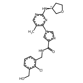 Cc1cnc(N[C@H]2CCOC2)nc1-n1cnc(C(=O)NCc2cccc(CO)c2Cl)c1